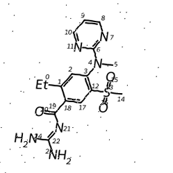 CCc1cc(N(C)c2ncccn2)c(S(C)(=O)=O)cc1C(=O)N=C(N)N